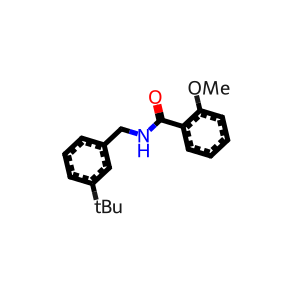 COc1ccccc1C(=O)NCc1cccc(C(C)(C)C)c1